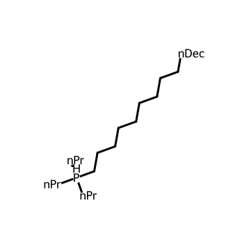 CCCCCCCCCCCCCCCCCCC[PH](CCC)(CCC)CCC